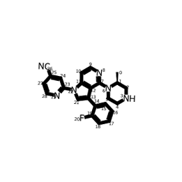 C[C@H]1CNCCN1c1nccc2c1c(-c1ccccc1F)cn2-c1cc(C#N)ccn1